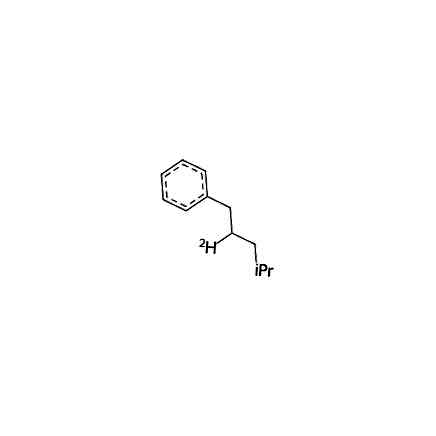 [2H]C(Cc1ccccc1)CC(C)C